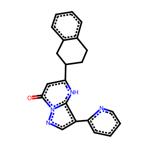 O=c1cc(C2CCc3ccccc3C2)[nH]c2c(-c3ccccn3)cnn12